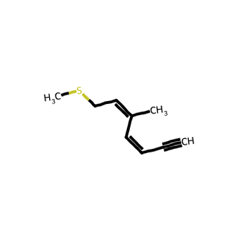 C#C/C=C\C(C)=C/CSC